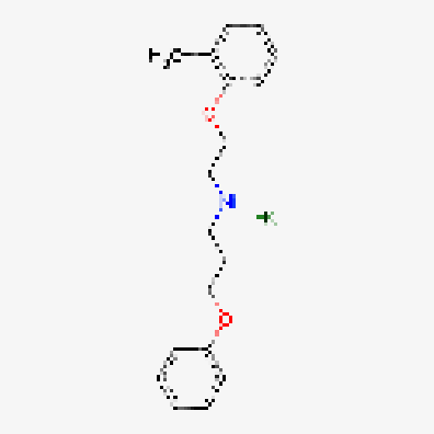 Cc1ccccc1OCCNCCCOc1ccccc1.Cl